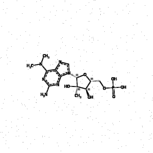 CN(C)c1nc(N)nc2c1ncn2[C@@H]1O[C@H](COP(=O)(O)O)[C@@H](O)[C@@]1(C)O